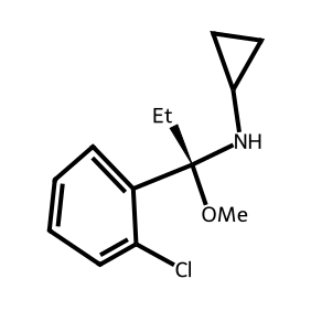 CC[C@@](NC1CC1)(OC)c1ccccc1Cl